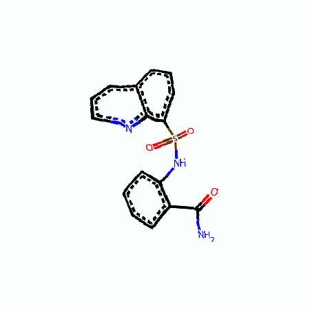 NC(=O)c1ccccc1NS(=O)(=O)c1cccc2cccnc12